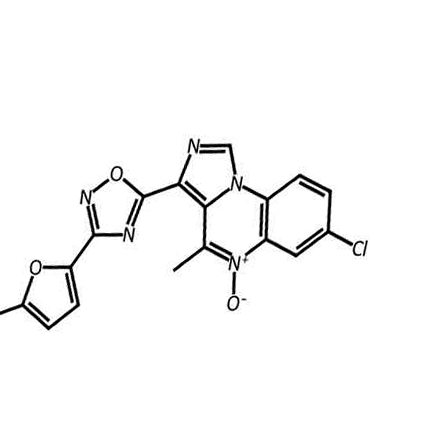 Cc1ccc(-c2noc(-c3ncn4c3c(C)[n+]([O-])c3cc(Cl)ccc34)n2)o1